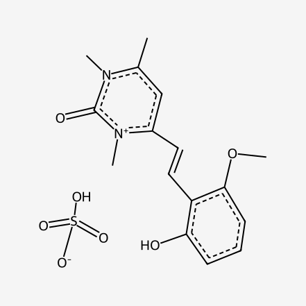 COc1cccc(O)c1C=Cc1cc(C)n(C)c(=O)[n+]1C.O=S(=O)([O-])O